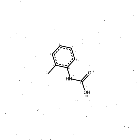 Cc1ccccc1NC(=O)O